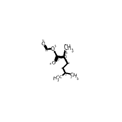 CC(C)CCC(C)C(=O)OC=O